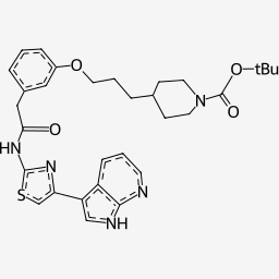 CC(C)(C)OC(=O)N1CCC(CCCOc2cccc(CC(=O)Nc3nc(-c4c[nH]c5ncccc45)cs3)c2)CC1